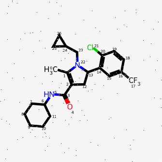 CC1=C(C(=O)NC2CCCCC2)CC(c2cc(C(F)(F)F)ccc2Cl)N1CC1CC1